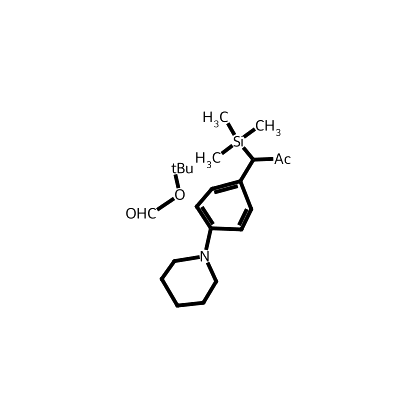 CC(=O)C(c1ccc(N2CCCCC2)cc1)[Si](C)(C)C.CC(C)(C)OC=O